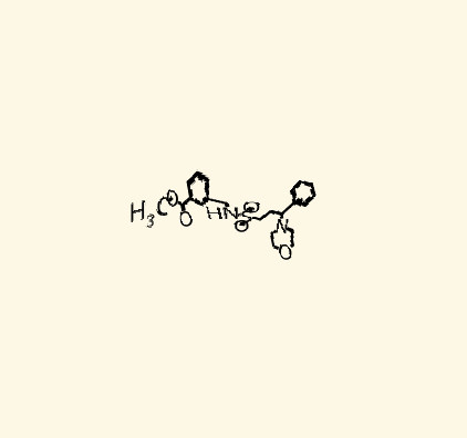 COC(=O)c1cccc(CNS(=O)(=O)CCC(c2ccccc2)N2CCOCC2)c1